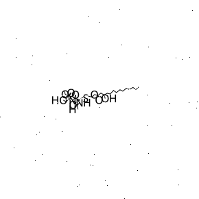 CCCCCCCCCCC[C@@H](O)CC(=O)OCCSC[C@H](NC(C)=O)C(=O)N[C@@H](CO)C(=O)OC